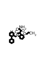 C=CCOc1cccc2c1c(C(=O)C(N)=O)c(C)n2Cc1ccccc1-c1ccccc1